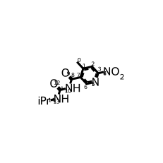 Cc1cc([N+](=O)[O-])ncc1C(=O)NC(=O)NC(C)C